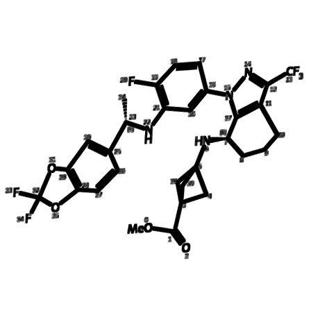 COC(=O)C12CC(N[C@@H]3CCCc4c(C(F)(F)F)nn(-c5ccc(F)c(N[C@@H](C)c6ccc7c(c6)OC(F)(F)O7)c5)c43)(C1)C2